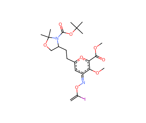 C=C(I)ON=c1cc(CCC2COC(C)(C)N2C(=O)OC(C)(C)C)oc(C(=O)OC)c1OC